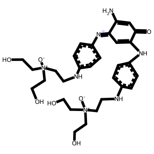 NC1=CC(=O)C(Nc2ccc(NCC[N+]([O-])(CCO)CCO)cc2)=C/C1=N\c1ccc(NCC[N+]([O-])(CCO)CCO)cc1